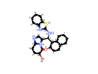 Oc1ccc2ccccc2c1C(Nc1nc2ccccc2s1)c1cnc2ccc(Br)cn12